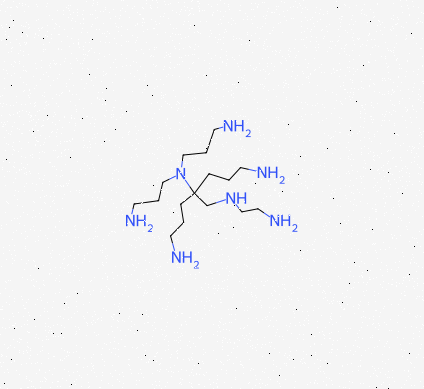 NCCCN(CCCN)C(CCCN)(CCCN)CNCCN